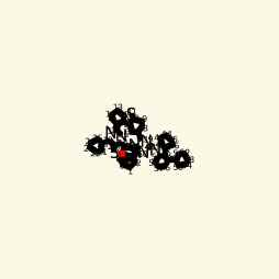 c1ccc(-c2nc(-c3ccc4sc5cccc(-c6nc(-c7ccccc7)c7sc8ccccc8c7n6)c5c4c3)nc(-n3c4ccccc4c4c(-c5ccccc5)cccc43)n2)cc1